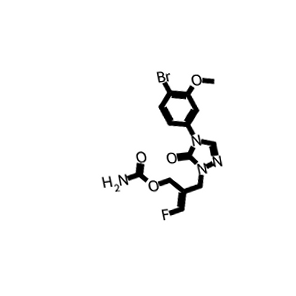 COc1cc(-n2cnn(C/C(=C/F)COC(N)=O)c2=O)ccc1Br